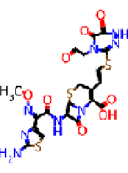 CO/N=C(\C(=O)NC1C(=O)N2C(C(=O)O)=C(/C=C/Sc3n[nH]c(=O)c(=O)n3CC=O)CSC12)c1csc(N)n1